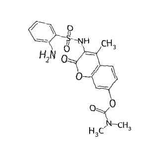 Cc1c(NS(=O)(=O)c2ccccc2N)c(=O)oc2cc(OC(=O)N(C)C)ccc12